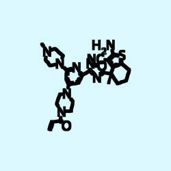 C=CC(=O)N1CCN(c2cc(-c3noc([C@@]4(C)CCCc5sc(N)c(C#N)c54)n3)nc(N3CCN(C)CC3)c2)CC1